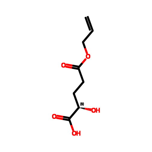 C=CCOC(=O)CC[C@H](O)C(=O)O